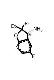 CCC1(C(C)C)Oc2ncc(F)cc2[C@H]1N